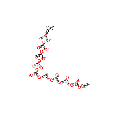 [La+3].[O]=[Ta](=[O])[O-].[O]=[Ta](=[O])[O-].[O]=[Ta](=[O])[O-].[O]=[Ta](=[O])[O-].[O]=[Ta](=[O])[O-].[O]=[Ta](=[O])[O-].[O]=[Ta](=[O])[O-].[O]=[Ta](=[O])[O-].[O]=[Ta](=[O])[O-].[Pb+2].[Zr+4]